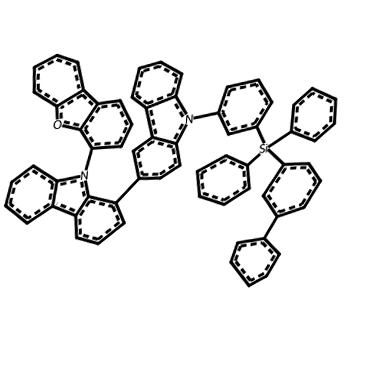 c1ccc(-c2cccc([Si](c3ccccc3)(c3ccccc3)c3cccc(-n4c5ccccc5c5cc(-c6cccc7c8ccccc8n(-c8cccc9c8oc8ccccc89)c67)ccc54)c3)c2)cc1